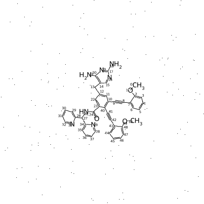 COc1ccccc1C#Cc1cc(Cc2cnc(N)nc2N)cc(C(=O)NC(c2ccccn2)c2ccccn2)c1C#Cc1ccccc1OC